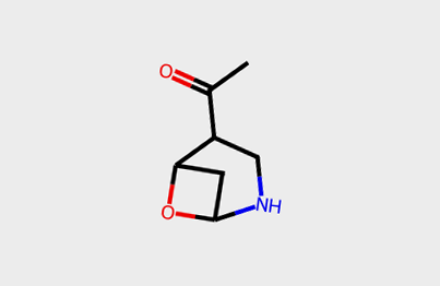 CC(=O)C1CNC2CC1O2